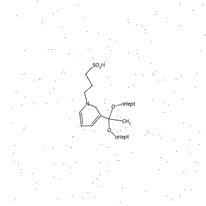 CCCCCCCOC(C)(OCCCCCCC)C1=CC=CN(CCCS(=O)(=O)O)C1